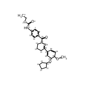 CCOC(=O)Nc1ccc(C(=O)N2CCCC(C3=CC(OC4CCCC4)C(OC)C=C3)=N2)cc1